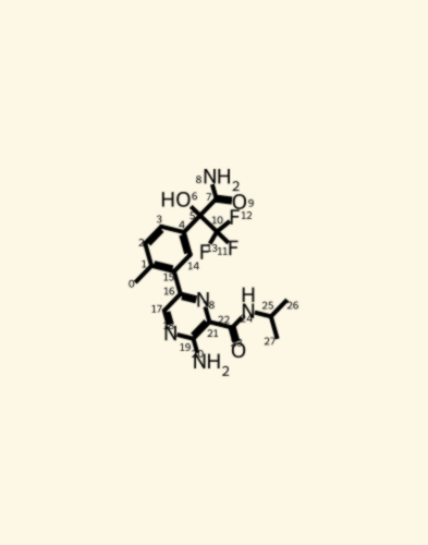 Cc1ccc(C(O)(C(N)=O)C(F)(F)F)cc1-c1cnc(N)c(C(=O)NC(C)C)n1